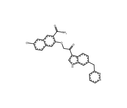 NC(=O)c1cc2cc(Cl)ccc2cc1OCC(=O)c1c[nH]c2cc(Cc3cccnn3)ccc12